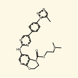 Cc1cnnn1-c1ccc(-c2cnc(Nc3cnc4c(c3)N(C(=O)OCCN(C)C)CCO4)nc2)cc1